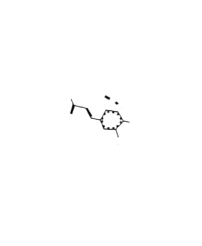 COc1cc(C=CC(=O)O)ccc1O.N=C=O